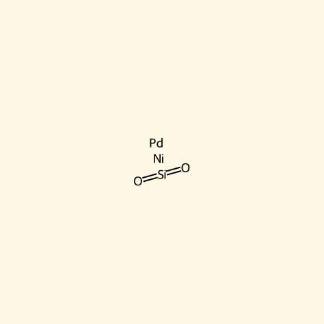 O=[Si]=O.[Ni].[Pd]